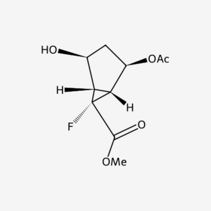 COC(=O)[C@]1(F)[C@@H]2[C@H]1[C@@H](O)C[C@H]2OC(C)=O